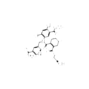 C#CCOC(=O)C1=C(C(=O)N(Cc2cncc(C(=O)OC)c2)c2cc(C(=O)OC)c(Cl)cc2Cl)CCCC1